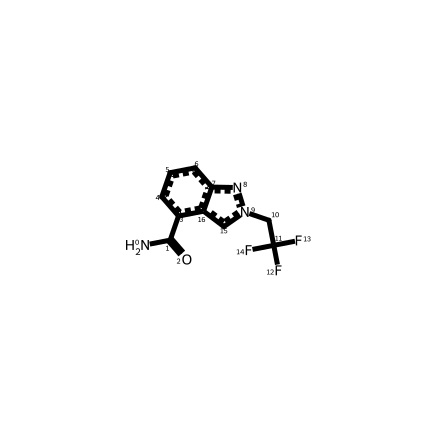 NC(=O)c1cccc2nn(CC(F)(F)F)cc12